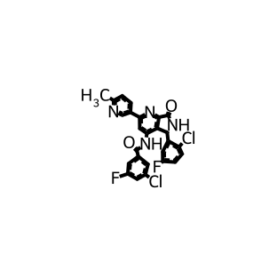 Cc1ccc(-c2cc(NC(=O)c3cc(F)cc(Cl)c3)c3c(n2)C(=O)NC3c2cc(F)ccc2Cl)cn1